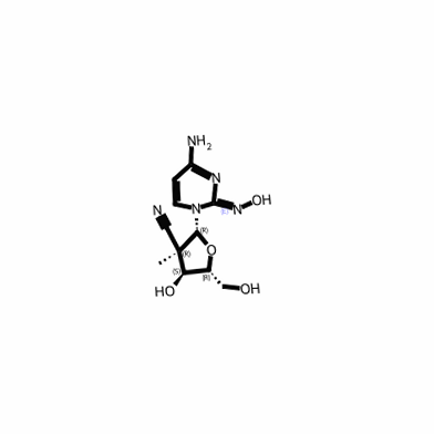 C[C@@]1(C#N)[C@H](O)[C@@H](CO)O[C@H]1n1ccc(N)n/c1=N\O